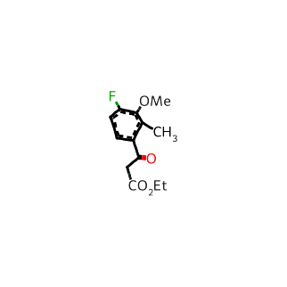 CCOC(=O)CC(=O)c1ccc(F)c(OC)c1C